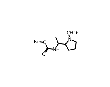 CC(NC(=O)OC(C)(C)C)C1CCCN1[C]=O